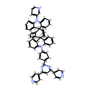 c1cncc(N2c3ccccc3C3(c4ccccc42)c2ccccc2C2(c4ccccc4N(c4ccc(-c5nc(-c6ccncc6)cc(-c6ccncc6)n5)cc4)c4ccccc42)c2ccccc23)c1